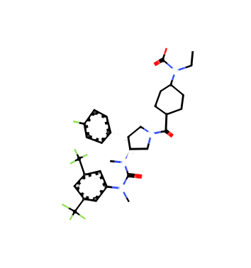 CCN(C(=O)O)C1CCC(C(=O)N2C[C@@H](N(C)C(=O)N(C)c3cc(C(F)(F)F)cc(C(F)(F)F)c3)[C@H](c3ccc(F)cc3)C2)CC1